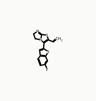 C=CC1=C(c2cc3ccc(F)cc3s2)N2CCN=C2S1